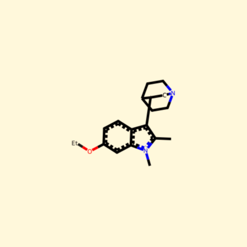 CCOc1ccc2c([C]3[CH]N4CCC3CC4)c(C)n(C)c2c1